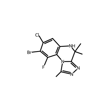 Cc1nnc2n1-c1c(cc(Cl)c(Br)c1F)NC2(C)C